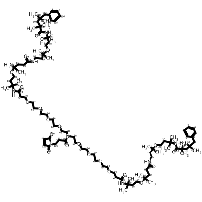 CC(C)(Cc1ccccc1)CC(C)(C)C(=O)NC(C)(C)CCOC(C)(C)CCNC(=O)CCC(C)(C)OCCC(C)(C)NC(=O)CCOCCOCCOCCOCCN(CCOCCOCCOCCOCCC(=O)NC(C)(C)CCOC(C)(C)CCC(=O)NCCC(C)(C)OCCC(C)(C)NC(=O)C(C)(C)CC(C)(C)Cc1ccccc1)C(=O)CCN1C(=O)C=CC1=O